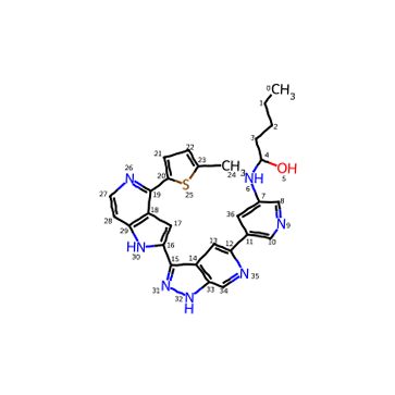 CCCCC(O)Nc1cncc(-c2cc3c(-c4cc5c(-c6ccc(C)s6)nccc5[nH]4)n[nH]c3cn2)c1